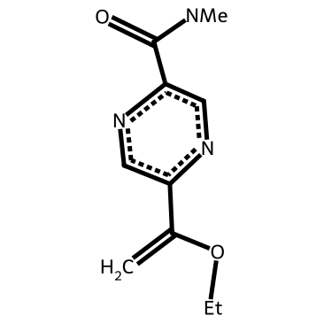 C=C(OCC)c1cnc(C(=O)NC)cn1